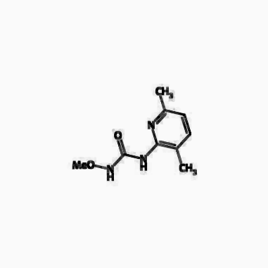 CONC(=O)Nc1nc(C)ccc1C